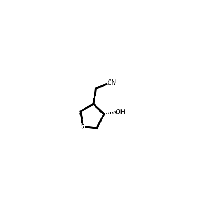 N#CCC1CSC[C@H]1O